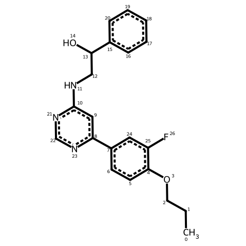 CCCOc1ccc(-c2cc(NCC(O)c3ccccc3)ncn2)cc1F